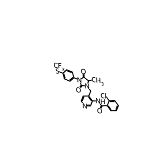 CC1C(=O)N(c2ccc(SC(F)(F)F)cc2)C(=O)N1Cc1ccncc1NC(=O)c1ccccc1Cl